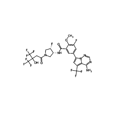 COc1c(F)cc(-c2cc(C(F)(F)F)c3c(N)ncnn23)cc1C(=O)N[C@@H]1CN(C(=O)CC(O)(C(F)(F)F)C(F)(F)F)C[C@@H]1F